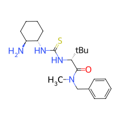 CN(Cc1ccccc1)C(=O)[C@H](NC(=S)N[C@H]1CCCC[C@@H]1N)C(C)(C)C